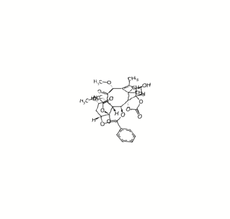 CO[C@H]1C(=O)[C@]2(C)[C@@H](OC)C[C@H]3OC[C@@]3(OC(C)=O)[C@H]2[C@H](OC(=O)c2ccccc2)[C@]23OC(=O)O[C@H]2[C@H](O)C(C)=C1C3(C)C